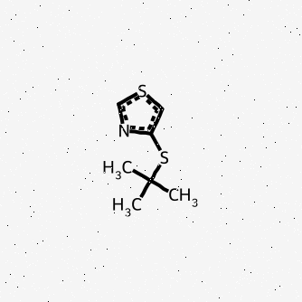 CC(C)(C)Sc1cscn1